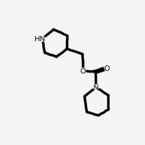 O=C(OCC1CCNCC1)N1CCCCC1